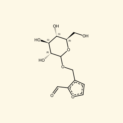 O=Cc1occc1COC1O[C@H](CO)[C@@H](O)[C@H](O)[C@H]1O